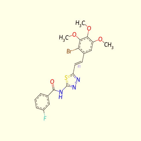 COc1cc(/C=C/c2nnc(NC(=O)c3cccc(F)c3)s2)c(Br)c(OC)c1OC